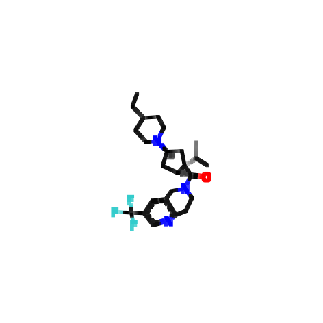 CCC1CCN([C@@H]2CC[C@@](C(=O)N3CCc4ncc(C(F)(F)F)cc4C3)(C(C)C)C2)CC1